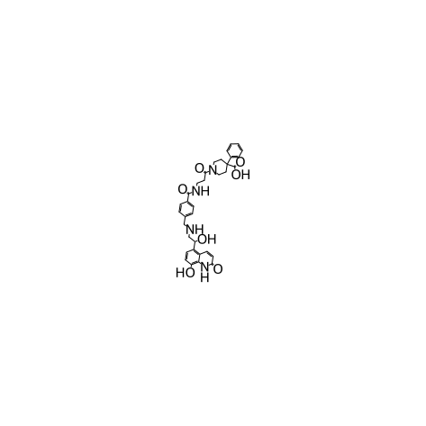 O=C(NCCC(=O)N1CCC(C(=O)O)(c2ccccc2)CC1)c1ccc(CNCC(O)c2ccc(O)c3[nH]c(=O)ccc23)cc1